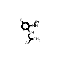 C=C(CNc1ccc(F)cc1NC(C)C)C(C)=O